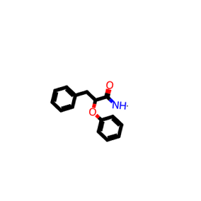 [NH]C(=O)C(Cc1ccccc1)Oc1ccccc1